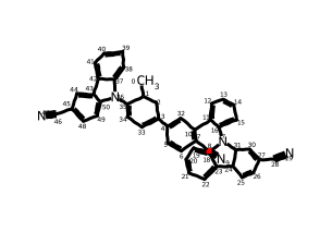 CC1CC(c2ccc(C#N)c(-c3ccccc3N3c4ccccc4C4C=CC(C#N)=CC43)c2)=CC=C1n1c2ccccc2c2cc(C#N)ccc21